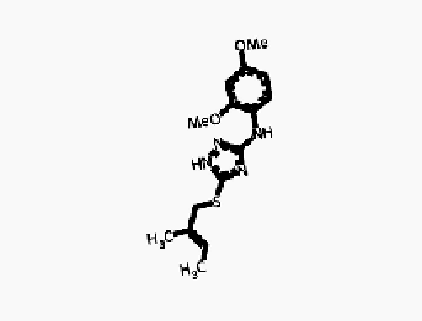 CC=C(C)CSc1nc(Nc2ccc(OC)cc2OC)n[nH]1